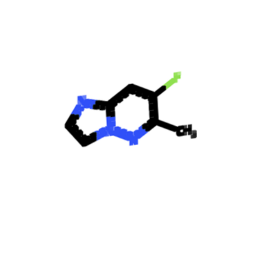 Cc1nn2ccnc2cc1F